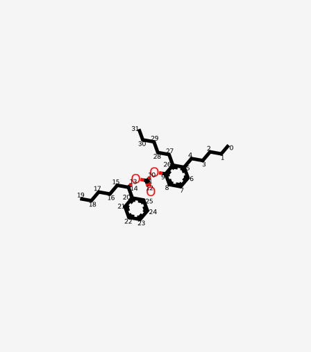 CCCCCc1cccc(OC(=O)OC(CCCCC)c2ccccc2)c1CCCCC